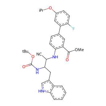 COC(=O)c1cc(-c2cc(OC(C)C)ccc2F)ccc1NC(C#N)C(Cc1c[nH]c2ccccc12)NC(=O)OC(C)(C)C